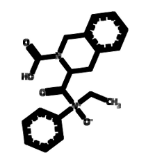 CC[N+]([O-])(C(=O)C1Cc2ccccc2CN1C(=O)O)c1ccccc1